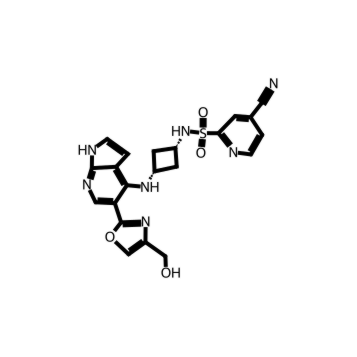 N#Cc1ccnc(S(=O)(=O)N[C@H]2C[C@@H](Nc3c(-c4nc(CO)co4)cnc4[nH]ccc34)C2)c1